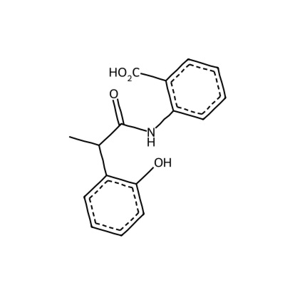 CC(C(=O)Nc1ccccc1C(=O)O)c1ccccc1O